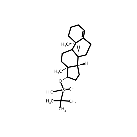 CC(C)(C)[Si](C)(C)O[C@H]1CC[C@H]2[C@@H]3CCC4=CCCC[C@]4(C)C3CC[C@]12C